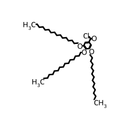 CCCCCCCCCCCCCCCCOc1cc(C(=O)Cl)cc(OCCCCCCCCCCCCCCCC)c1OCCCCCCCCCCCCCCCC